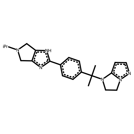 CC(C)N1Cc2nc(-c3ccc(C(C)(C)N4CCn5nccc54)cc3)[nH]c2C1